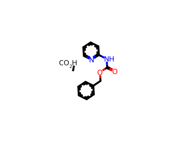 CC(=O)O.O=C(Nc1ccccn1)OCc1ccccc1